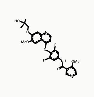 COc1cc2c(Oc3c(F)cc(NC(=O)c4cnccc4OC)cc3F)ccnc2cc1OCC(C)(C)O